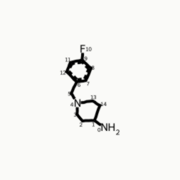 NC1CCN(Cc2ccc(F)cc2)CC1